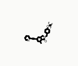 Cc1cc(C#Cc2ccccn2)cc2c1C(=O)N(Cc1ccc(OC(F)(F)F)cc1)C2